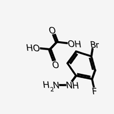 NNc1ccc(Br)cc1F.O=C(O)C(=O)O